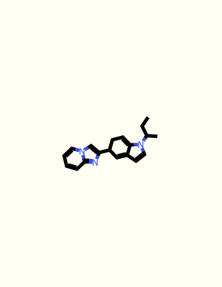 CCC(C)n1ccc2c1=CCC(c1cn3ccccc3n1)C=2